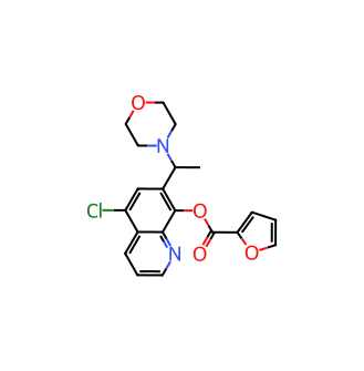 CC(c1cc(Cl)c2cccnc2c1OC(=O)c1ccco1)N1CCOCC1